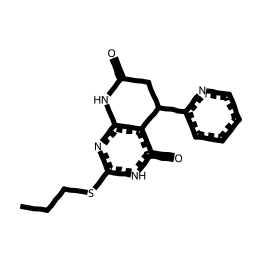 CCCSc1nc2c(c(=O)[nH]1)C(c1ccccn1)CC(=O)N2